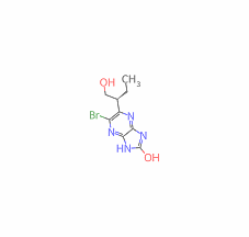 CC[C@H](CO)c1nc2nc(O)[nH]c2nc1Br